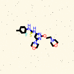 Cc1ccc(NC(=S)Nc2cc(N3CCOCC3)nc(OCCN3CCOCC3)n2)c(F)c1